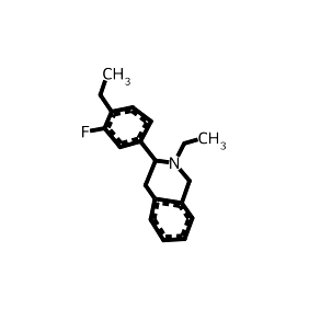 CCc1ccc(C2Cc3ccccc3CN2CC)cc1F